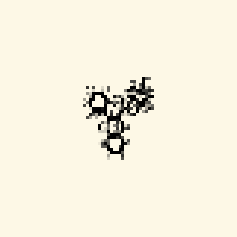 O=c1c(Cc2ccccc2)c(OS(=O)(=O)C(F)(F)F)oc2ccccc12